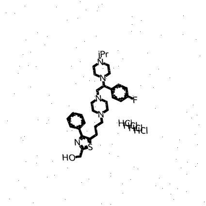 CC(C)N1CCN(C(CN2CCN(CCCc3sc(CO)nc3-c3ccccc3)CC2)c2ccc(F)cc2)CC1.Cl.Cl.Cl.Cl